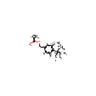 CC(=O)OCc1cc(C)c(C(C)(C)C)c(C)c1